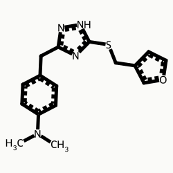 CN(C)c1ccc(Cc2n[nH]c(SCc3ccoc3)n2)cc1